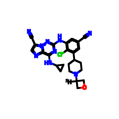 [2H]C1(N2CCC(c3cc(C#N)cc(Nc4nc(NC5CC5)c5ncc(C#N)n5n4)c3Cl)CC2)COC1